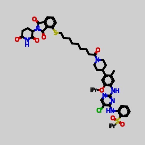 Cc1cc(Nc2ncc(Cl)c(Nc3ccccc3S(=O)(=O)C(C)C)n2)c(OC(C)C)cc1C1CCN(C(=O)CCCCCCCCSc2cccc3c2C(=O)N(C2CCC(=O)NC2=O)C3=O)CC1